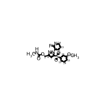 CNC(=O)OCc1cc(S(=O)(=O)c2cccc(OC)c2)n(-c2cccnc2F)n1